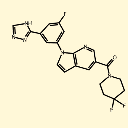 O=C(c1cnc2c(ccn2-c2cc(F)cc(-c3nnc[nH]3)c2)c1)N1CCC(F)(F)CC1